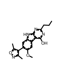 CCCc1nc(O)c2c(n1)[nH]c1cc(-c3c(C)noc3C)c(OC)cc12